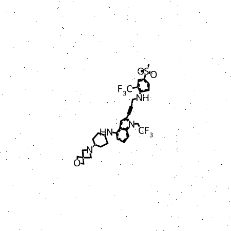 CS(=O)(=O)c1ccc(NCC#Cc2cc3c(N[C@H]4CC[C@H](N5CC6(COC6)C5)CC4)cccc3n2CC(F)(F)F)c(C(F)(F)F)c1